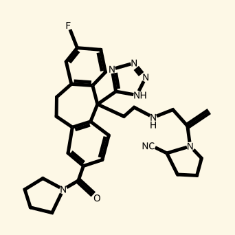 C=C(CNCCC1(c2nnn[nH]2)c2ccc(F)cc2CCc2cc(C(=O)N3CCCC3)ccc21)N1CCCC1C#N